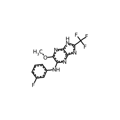 COc1nc2[nH]c(C(F)(F)F)nc2nc1Nc1cccc(F)c1